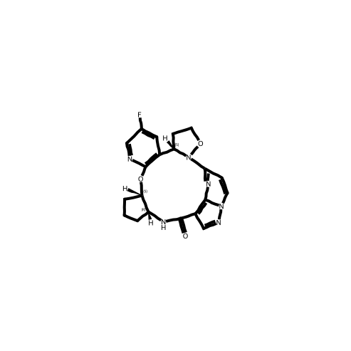 O=C1N[C@@H]2CCC[C@@H]2Oc2ncc(F)cc2[C@@H]2CCON2c2ccn3ncc1c3n2